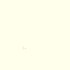 CC(=CC1NCCO1)C(=O)O